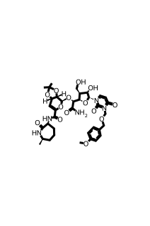 COc1ccc(COCn2c(=O)ccn([C@@H]3O[C@H]([C@@H](O[C@H]4OC(C(=O)N[C@H]5CCC[C@@H](C)NC5=O)=C[C@@H]5OC(C)(C)O[C@H]45)C(N)=O)[C@@H](CO)[C@H]3O)c2=O)cc1